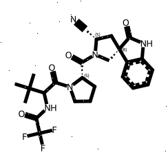 CC(C)(C)C(NC(=O)C(F)(F)F)C(=O)N1CCC[C@H]1C(=O)N1C[C@]2(C[C@H]1C#N)C(=O)Nc1ccccc12